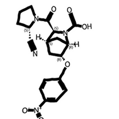 N#C[C@@H]1CCCN1C(=O)[C@@H]1[C@H]2C[C@H]([C@H](Oc3ccc([N+](=O)[O-])cc3)C2)N1C(=O)O